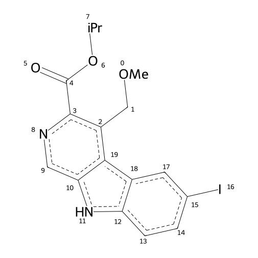 COCc1c(C(=O)OC(C)C)ncc2[nH]c3ccc(I)cc3c12